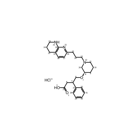 Cl.O=C(O)CC(CO[C@@H]1CCCN(CCCc2ccc3c(n2)NCCC3)C1)c1ccccc1